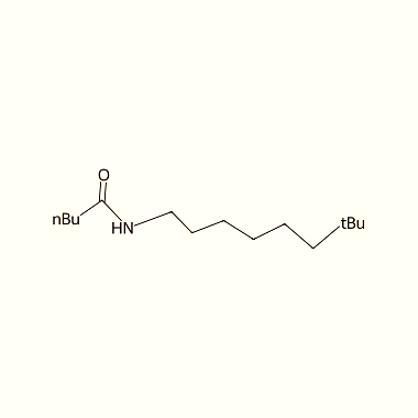 CCCCC(=O)NCCCCCCC(C)(C)C